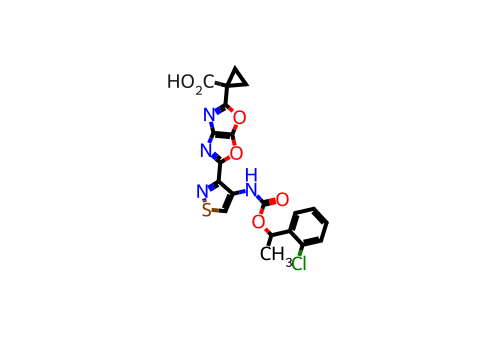 CC(OC(=O)Nc1csnc1-c1nc2nc(C3(C(=O)O)CC3)oc2o1)c1ccccc1Cl